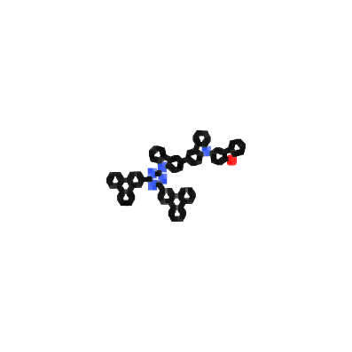 c1ccc2c(c1)oc1ccc(-n3c4ccccc4c4cc(-c5ccc6c(c5)c5ccccc5n6-c5nc(-c6ccc7c8ccccc8c8ccccc8c7c6)nc(-c6ccc7c8ccccc8c8ccccc8c7c6)n5)ccc43)cc12